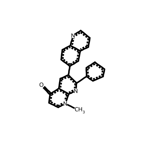 Cn1ccc(=O)c2cc(-c3ccc4ncccc4c3)c(-c3ccccc3)nc21